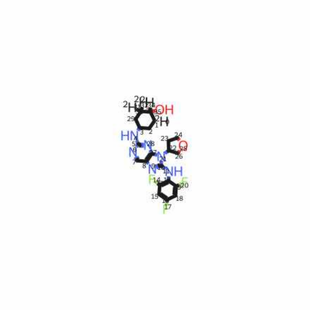 [2H]C1CC(Nc2ncc3nc(Nc4c(F)cc(F)cc4F)n(C4CCOC4)c3n2)CC([2H])([2H])C1([2H])O